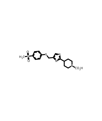 CS(=O)(=O)c1ccc(SCc2csc(C3CCN(C(=O)O)CC3)n2)cc1